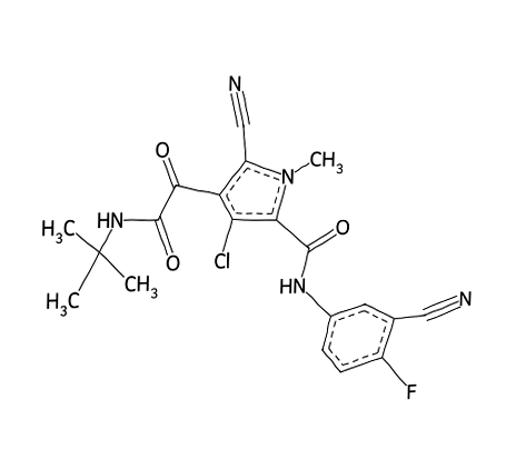 Cn1c(C#N)c(C(=O)C(=O)NC(C)(C)C)c(Cl)c1C(=O)Nc1ccc(F)c(C#N)c1